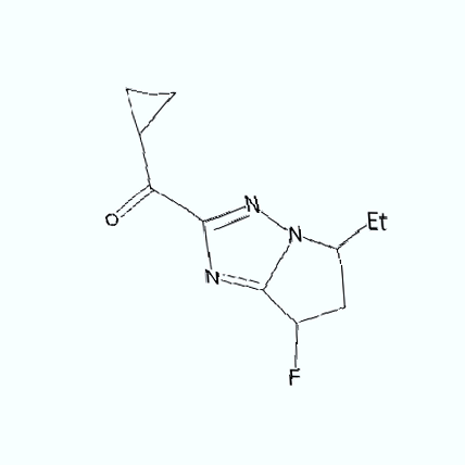 CCC1CC(F)c2nc(C(=O)C3CC3)nn21